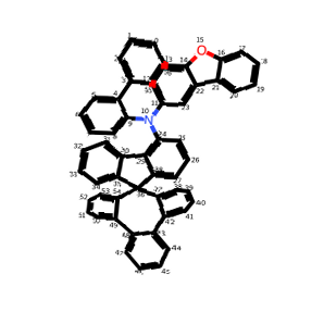 c1ccc(-c2ccccc2N(c2ccc3oc4ccccc4c3c2)c2cccc3c2-c2ccccc2C32c3ccccc3-c3ccccc3-c3ccccc32)cc1